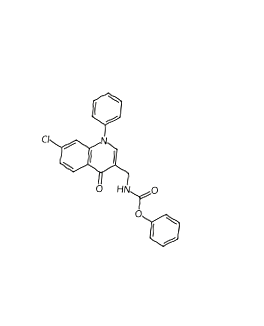 O=C(NCc1cn(-c2ccccc2)c2cc(Cl)ccc2c1=O)Oc1ccccc1